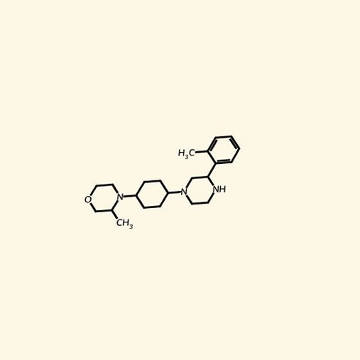 Cc1ccccc1C1CN(C2CCC(N3CCOCC3C)CC2)CCN1